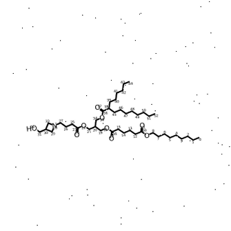 CCCCCCCCCOC(=O)CCCCC(=O)OCC(COC(=O)CCCN1CC(CO)C1)COC(=O)C(CCCCCC)CCCCCCCC